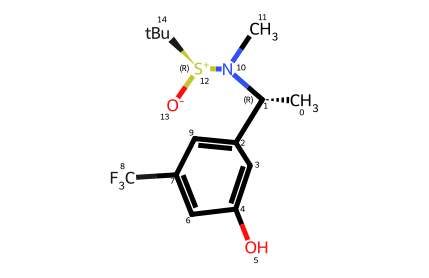 C[C@H](c1cc(O)cc(C(F)(F)F)c1)N(C)[S@@+]([O-])C(C)(C)C